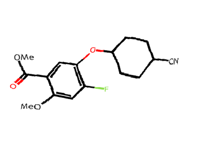 COC(=O)c1cc(OC2CCC(C#N)CC2)c(F)cc1OC